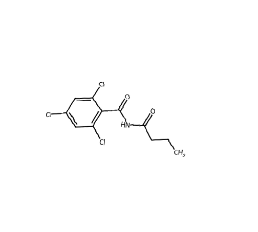 CCCC(=O)NC(=O)c1c(Cl)cc(Cl)cc1Cl